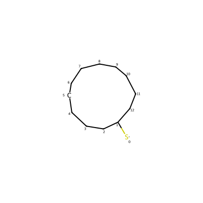 [S]C1CCCCCCCCCCC1